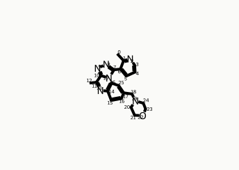 Cc1ncccc1-c1nnc2c(C)nc3ccc(CN4CCOCC4)cc3n12